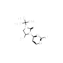 BC(B)(B)N1CC(C(C)C)N(c2ccnc(Cl)n2)C1=O